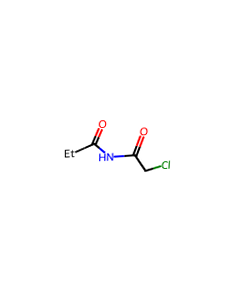 CCC(=O)NC(=O)CCl